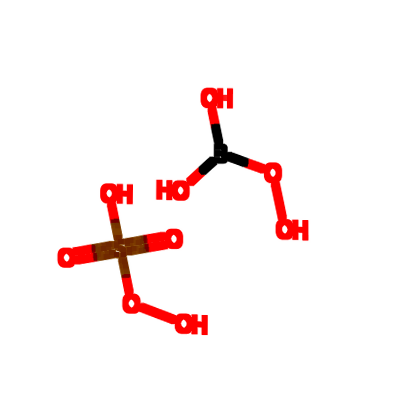 O=S(=O)(O)OO.OOB(O)O